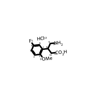 COc1ccc(F)cc1C(CN)CC(=O)O.Cl